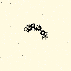 Cc1cc2c(Nc3cc(-c4ccc(C(F)(F)F)cc4)ccn3)cccc2n(C)c1=O